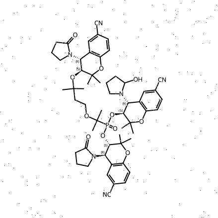 CC(C)(CCOC(C)(C)P(=O)(O[C@H]1[C@H](N2CCCC2=O)c2cc(C#N)ccc2OC1(C)C)O[C@H]1[C@H](N2CCCC2O)c2cc(C#N)ccc2OC1(C)C)O[C@H]1[C@H](N2CCCC2=O)c2cc(C#N)ccc2OC1(C)C